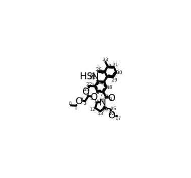 CCOCCOc1c(C(=O)N2CCC[C@@H]2COC)cc2c(c1C=O)N(S)C=C1C2=C=CC=C1C